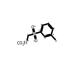 CCOC(=O)CS(=O)(=O)c1cccc(C)c1